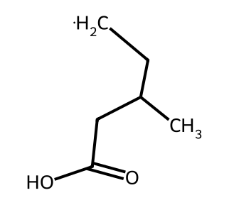 [CH2]CC(C)CC(=O)O